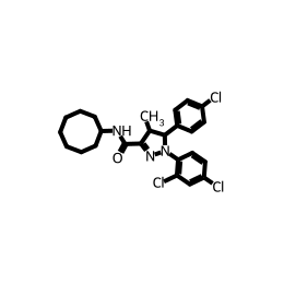 CC1C(C(=O)NC2CCCCCCC2)=NN(c2ccc(Cl)cc2Cl)C1c1ccc(Cl)cc1